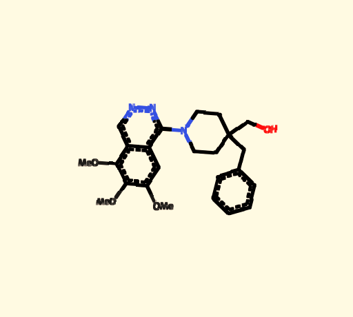 COc1cc2c(N3CCC(CO)(Cc4ccccc4)CC3)nncc2c(OC)c1OC